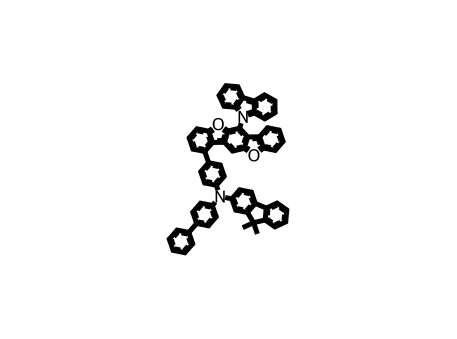 CC1(C)c2ccccc2-c2ccc(N(c3ccc(-c4ccccc4)cc3)c3ccc(-c4cccc5oc6c(-n7c8ccccc8c8ccccc87)c7c(cc6c45)oc4ccccc47)cc3)cc21